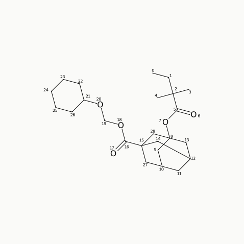 CCC(C)(C)C(=O)OC12CC3CC(C1)CC(C(=O)OCOC1CCCCC1)(C3)C2